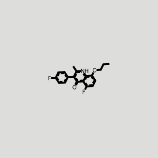 CCCOc1ccc(F)c2c(=O)c(-c3ccc(F)cc3)c(C)[nH]c12